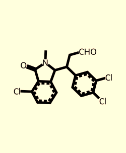 CN1C(=O)c2c(Cl)cccc2C1C(CC=O)c1ccc(Cl)c(Cl)c1